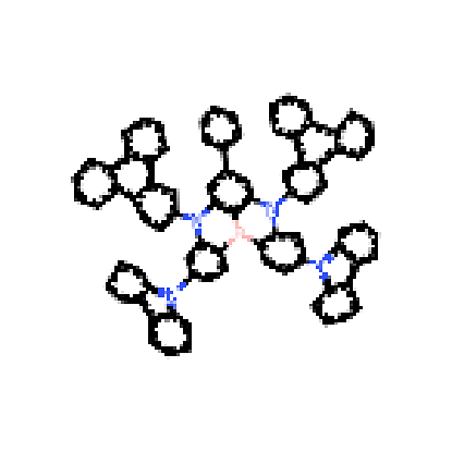 c1ccc(-c2cc3c4c(c2)N(c2ccc5c6ccccc6c6ccccc6c5c2)c2cc(-n5c6ccccc6c6ccccc65)ccc2B4c2ccc(-n4c5ccccc5c5ccccc54)cc2N3c2ccc3c4ccccc4c4ccccc4c3c2)cc1